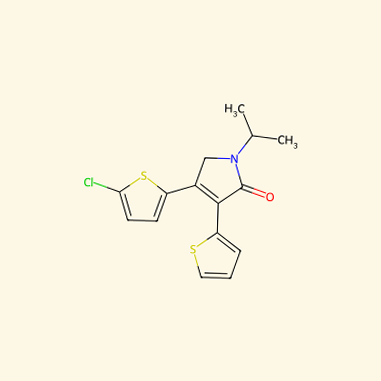 CC(C)N1CC(c2ccc(Cl)s2)=C(c2cccs2)C1=O